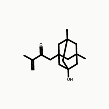 C=C(C)C(=O)CC12CC3(C)CC(C)(CC(O)(C3)C1)C2